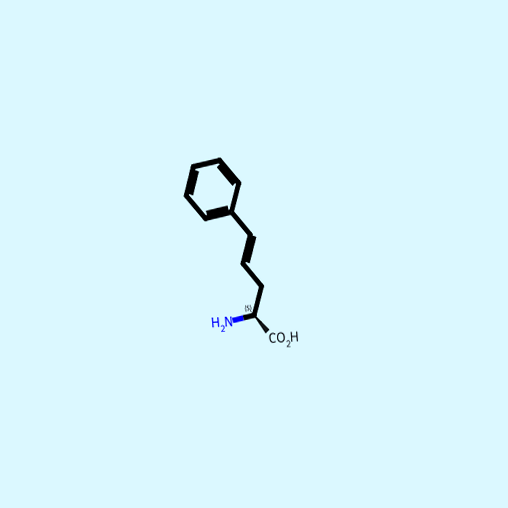 N[C@@H](CC=Cc1ccccc1)C(=O)O